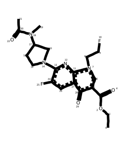 CCOC(=O)c1cn(CCF)c2nc(N3CCC(N(C)C(C)=O)C3)c(F)cc2c1=O